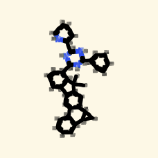 CC1(C)c2cc3c(cc2-c2cccc(-c4nc(-c5ccccc5)nc(-c5ccccn5)n4)c21)-c1ccccc1C1CC31